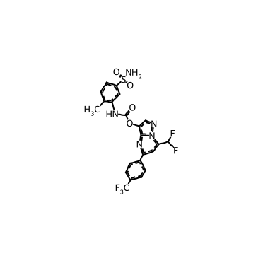 Cc1ccc(S(N)(=O)=O)cc1NC(=O)Oc1cnn2c(C(F)F)cc(-c3ccc(C(F)(F)F)cc3)nc12